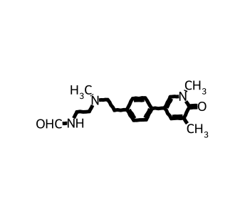 Cc1cc(-c2ccc(CCN(C)CCNC=O)cc2)cn(C)c1=O